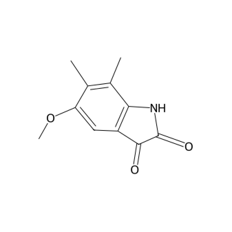 COc1cc2c(c(C)c1C)NC(=O)C2=O